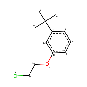 CC(C)(C)c1c[c]cc(OCCCl)c1